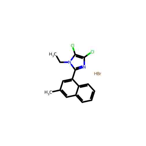 Br.CCn1c(-c2cc(C)cc3ccccc23)nc(Cl)c1Cl